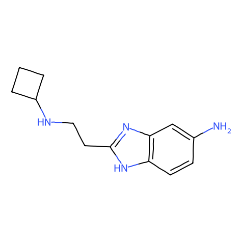 Nc1ccc2[nH]c(CCNC3CCC3)nc2c1